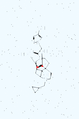 Cc1cnn(CC(=O)N2CCC34CCN(CC5CC5)C(Cc5cc(C)c(O)cc53)C4(O)CC2)c1